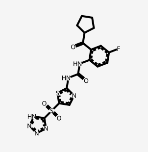 O=C(Nc1ncc(S(=O)(=O)c2nnn[nH]2)s1)Nc1ccc(F)cc1C(=O)C1CCCC1